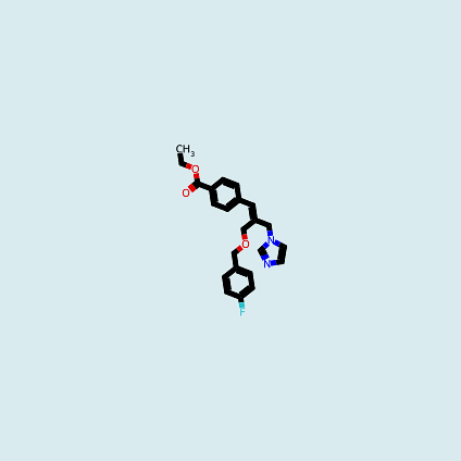 CCOC(=O)c1ccc(C=C(COCc2ccc(F)cc2)Cn2ccnc2)cc1